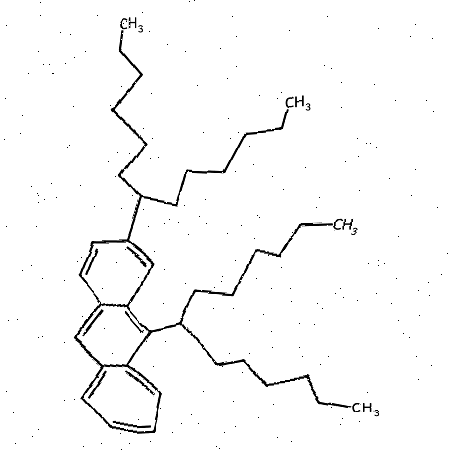 CCCCCCC(CCCCCC)c1ccc2cc3ccccc3c(C(CCCCCC)CCCCCC)c2c1